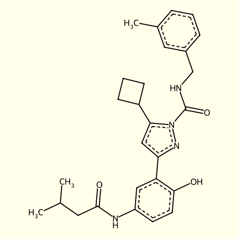 Cc1cccc(CNC(=O)n2nc(-c3cc(NC(=O)CC(C)C)ccc3O)cc2C2CCC2)c1